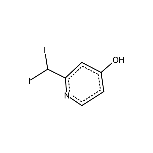 Oc1ccnc(C(I)I)c1